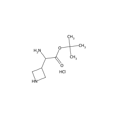 CC(C)(C)OC(=O)C(N)C1CNC1.Cl